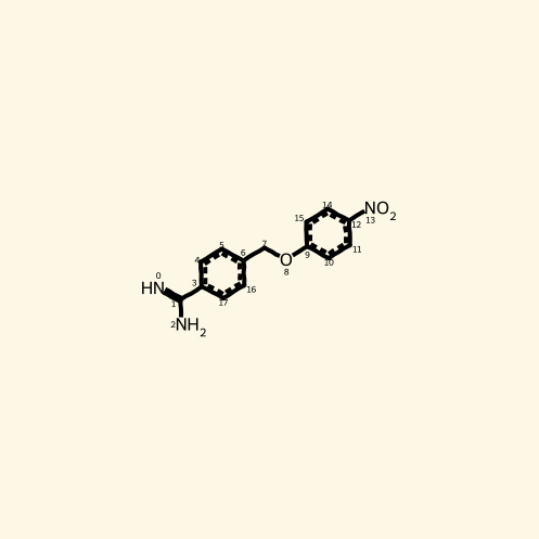 N=C(N)c1ccc(COc2ccc([N+](=O)[O-])cc2)cc1